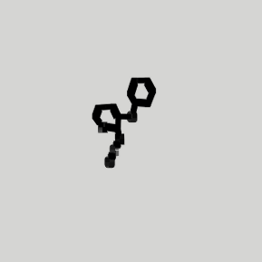 O=C=Nc1ncccc1Oc1ccccc1